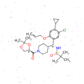 C=CCOc1cc(C2CC2)c(Cl)cc1[C@H](N[S+]([O-])C(C)(C)C)C1CCN(C(=O)[C@H]2COC(C)(C)O2)CC1